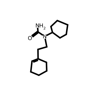 NC(=O)N(CCC1=CCCCC1)C1CCCCC1